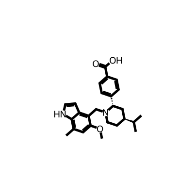 COc1cc(C)c2[nH]ccc2c1CN1CC[C@H](C(C)C)C[C@H]1c1ccc(C(=O)O)cc1